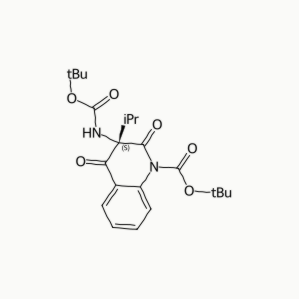 CC(C)[C@]1(NC(=O)OC(C)(C)C)C(=O)c2ccccc2N(C(=O)OC(C)(C)C)C1=O